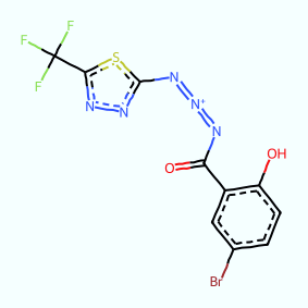 O=C(N=[N+]=Nc1nnc(C(F)(F)F)s1)c1cc(Br)ccc1O